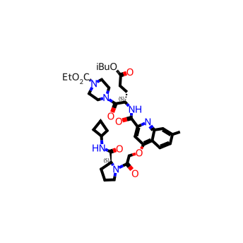 CCOC(=O)N1CCN(C(=O)[C@H](CCC(=O)OCC(C)C)NC(=O)c2cc(OCC(=O)N3CCC[C@H]3C(=O)NC3CCC3)c3ccc(C)cc3n2)CC1